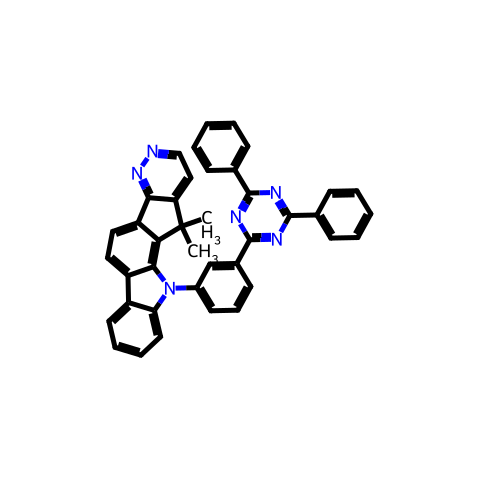 CC1(C)c2ccnnc2-c2ccc3c4ccccc4n(-c4cccc(-c5nc(-c6ccccc6)nc(-c6ccccc6)n5)c4)c3c21